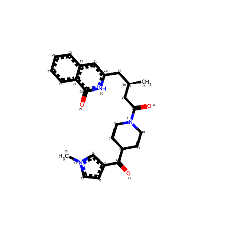 C[C@@H](CC(=O)N1CCC(C(=O)c2ccn(C)c2)CC1)Cc1cc2ccccc2c(=O)[nH]1